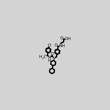 C[C@H](NC(=O)N(Cc1ccc(C(=O)NCCC(=O)O)cc1)C1CCC(C2CCCCC2)CC1)c1ccc(Cl)cc1